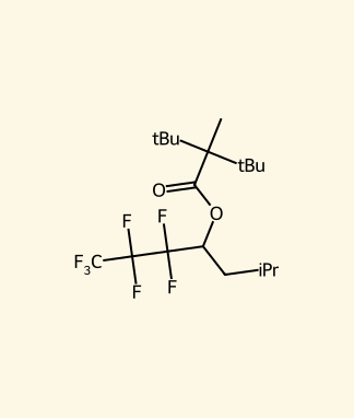 CC(C)CC(OC(=O)C(C)(C(C)(C)C)C(C)(C)C)C(F)(F)C(F)(F)C(F)(F)F